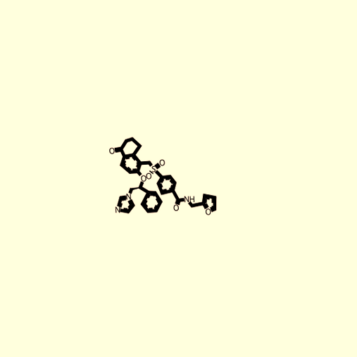 O=C(NCc1ccco1)c1ccc(S(=O)(=O)Cc2c(O[C@H](Cn3ccnc3)c3ccccc3)ccc3c2CCCC3=O)cc1